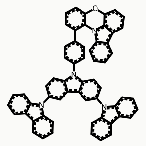 c1cc2c(c(-c3ccc(-n4c5ccc(-n6c7ccccc7c7ccccc76)cc5c5cc(-n6c7ccccc7c7ccccc76)ccc54)cc3)c1)-n1c3ccccc3c3cccc(c31)O2